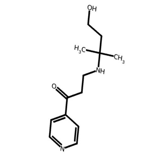 CC(C)(CCO)NCCC(=O)c1ccncc1